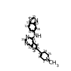 CN1CC=C(c2cc3c(Nc4ccc5scnc5c4)ncnc3s2)CC1